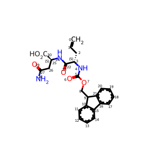 C=CC[C@H](NC(=O)OCC1c2ccccc2-c2ccccc21)C(=O)N[C@@H](CC(N)=O)C(=O)O